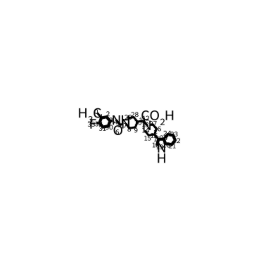 Cc1cc(NC(=O)N2CCC(C(C(=O)O)N3CCC(c4c[nH]c5ccccc45)CC3)CC2)ccc1F